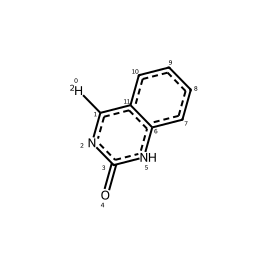 [2H]c1nc(=O)[nH]c2ccccc12